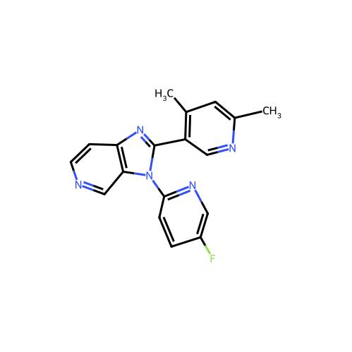 Cc1cc(C)c(-c2nc3ccncc3n2-c2ccc(F)cn2)cn1